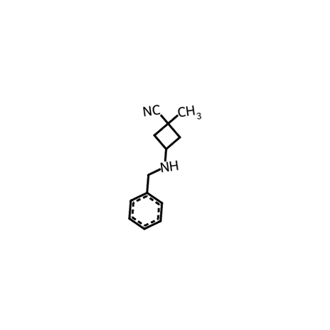 CC1(C#N)CC(NCc2ccccc2)C1